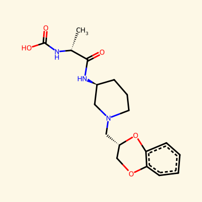 C[C@@H](NC(=O)O)C(=O)N[C@H]1CCCN(C[C@H]2COc3ccccc3O2)C1